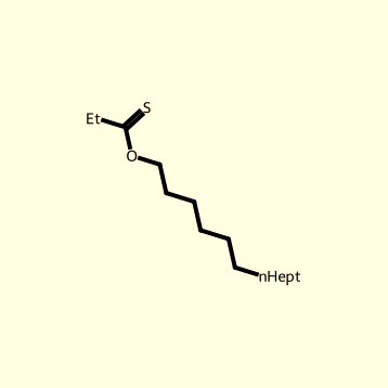 CCCCCCCCCCCCCOC(=S)CC